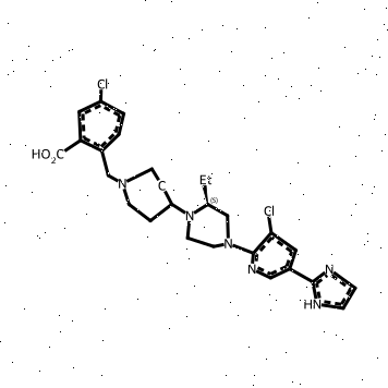 CC[C@H]1CN(c2ncc(-c3ncc[nH]3)cc2Cl)CCN1C1CCN(Cc2ccc(Cl)cc2C(=O)O)CC1